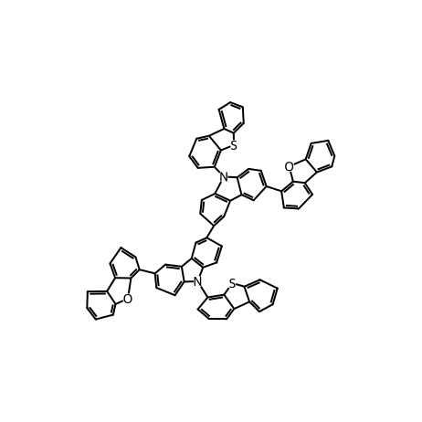 c1ccc2c(c1)oc1c(-c3ccc4c(c3)c3cc(-c5ccc6c(c5)c5cc(-c7cccc8c7oc7ccccc78)ccc5n6-c5cccc6c5sc5ccccc56)ccc3n4-c3cccc4c3sc3ccccc34)cccc12